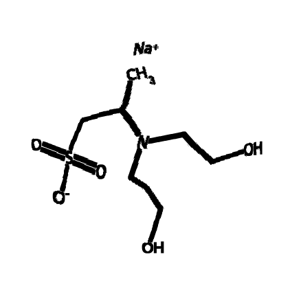 CC(CS(=O)(=O)[O-])N(CCO)CCO.[Na+]